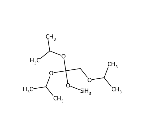 CC(C)OCC(O[SiH3])(OC(C)C)OC(C)C